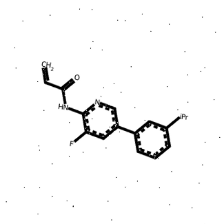 C=CC(=O)Nc1ncc(-c2cccc(C(C)C)c2)cc1F